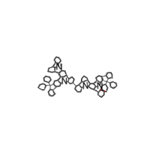 c1ccc(C2(c3ccccc3)c3ccccc3-c3cc4c(cc32)c2c3c5cccc6c7ccccc7n(c3cc3c7ccc(-c8cccc9c8c8cccc%10c%11c%12c%13ccc%14c(c%13n%13c%15ccccc%15c(cc%11n9c8%10)c%12%13)C(c8ccccc8)(c8ccccc8)c8ccccc8-%14)cc7n4c32)c65)cc1